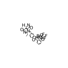 CCc1nc(=O)cc(C(N)=O)n1Cc1ccc2oc(-c3ccccc3NS(=O)(=O)C(F)(F)F)c(Br)c2c1